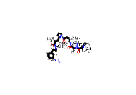 CC[C@H](C)[C@@H]([C@@H](CC(=O)N1CCC[C@H]1[C@H](OC)[C@@H](C)C(=O)N(C)CCc1cccc(N)c1)OC)N(C)C(=O)[C@@H](NC(=O)C(C)(C)N(C)C)C(C)C